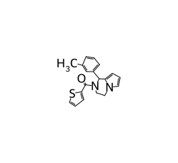 Cc1cccc(C2c3cccn3CCN2C(=O)c2cccs2)c1